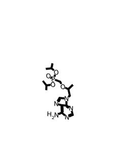 CC(C)OP(=O)(COC(C)Cn1cnc2c(N)ncnc21)OC(C)C